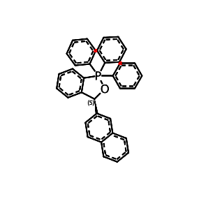 c1ccc(P2(c3ccccc3)(c3ccccc3)O[C@@H](c3ccc4ccccc4c3)c3ccccc32)cc1